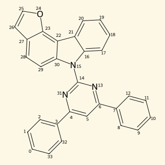 c1ccc(-c2cc(-c3ccccc3)nc(-n3c4ccccc4c4c5occc5ccc43)n2)cc1